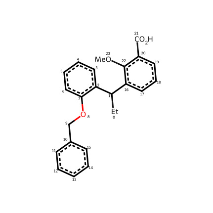 CCC(c1ccccc1OCc1ccccc1)c1cccc(C(=O)O)c1OC